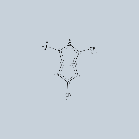 N#Cc1cc2c(C(F)(F)F)sc(C(F)(F)F)c2s1